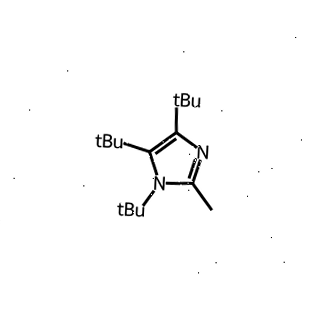 Cc1nc(C(C)(C)C)c(C(C)(C)C)n1C(C)(C)C